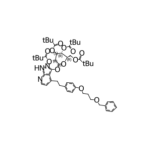 CC(C)(C)C(=O)OC[C@H]1O[C@@H](Oc2n[nH]c3nccc(CCc4ccc(OCCCOCc5ccccc5)cc4)c23)[C@H](OC(=O)C(C)(C)C)[C@@H](OC(=O)C(C)(C)C)[C@@H]1OC(=O)C(C)(C)C